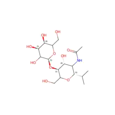 CC(=O)NC1[C@H](C(C)C)OC(CO)[C@@H](O[C@@H]2OC(CO)[C@H](O)[C@H](O)C2O)[C@@H]1O